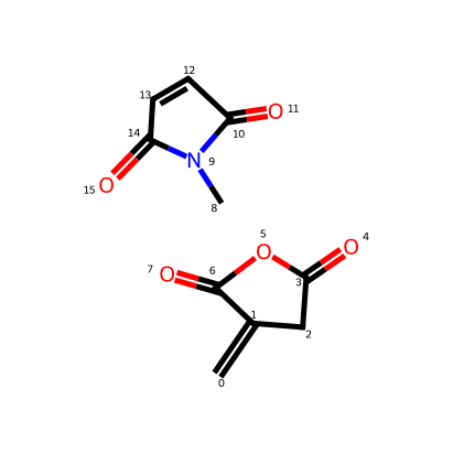 C=C1CC(=O)OC1=O.CN1C(=O)C=CC1=O